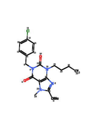 COc1nc2c(c(=O)n(Cc3ccc(Cl)cc3)c(=O)n2CCCC(F)(F)F)n1C